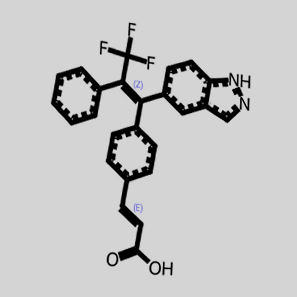 O=C(O)/C=C/c1ccc(/C(=C(\c2ccccc2)C(F)(F)F)c2ccc3[nH]ncc3c2)cc1